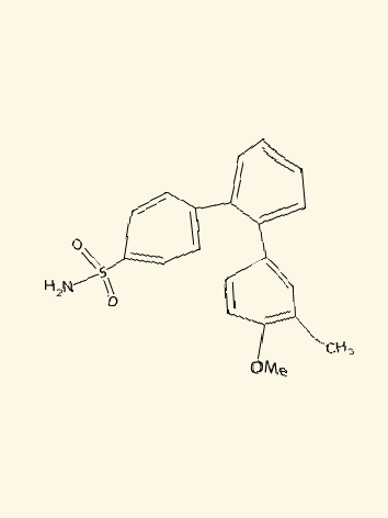 COc1ccc(-c2ccccc2-c2ccc(S(N)(=O)=O)cc2)cc1C